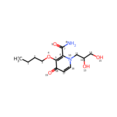 CCCCOc1c(C(N)=O)n(CC(O)CO)ccc1=O